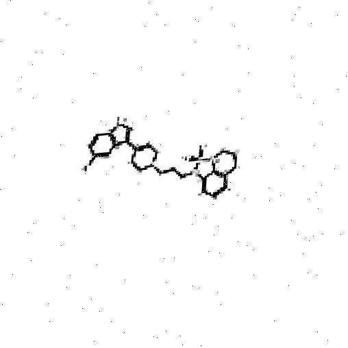 O=S1(=O)N(CCCN2CC=C(c3c[nH]c4ccc(F)cc34)CC2)c2cccc3c2N1CCC3